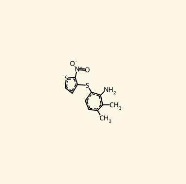 Cc1ccc(Sc2ccsc2[N+](=O)[O-])c(N)c1C